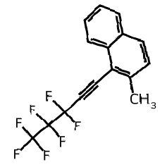 Cc1ccc2ccccc2c1C#CC(F)(F)C(F)(F)C(F)(F)F